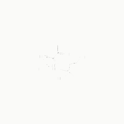 C=C(C)C(N)=O.CCC[N+](C)(C)C.Cl.[NaH]